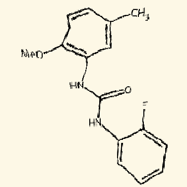 COc1ccc(C)cc1NC(=O)Nc1ccccc1F